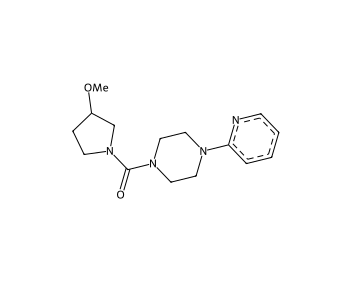 COC1CCN(C(=O)N2CCN(c3ccccn3)CC2)C1